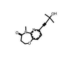 CN1C(=O)CCOc2ccc(C#CC(C)(C)O)nc21